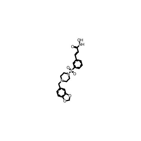 O=C(C=Cc1cccc(S(=O)(=O)N2CCN(Cc3ccc4c(c3)OCO4)CC2)c1)NO